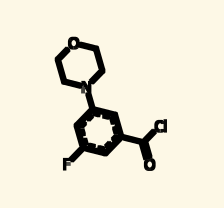 O=C(Cl)c1cc(F)cc(N2CCOCC2)c1